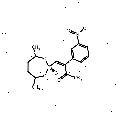 CC(=O)C(=CP1(=O)OC(C)CCC(C)O1)c1cccc([N+](=O)[O-])c1